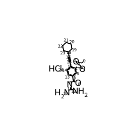 CS(=O)(=O)c1cc(C(=O)N=C(N)N)ccc1C#CC1CCCCC1.Cl